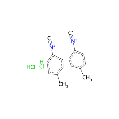 Cl.Cl.[C-]#[N+]c1ccc(C)cc1.[C-]#[N+]c1ccc(C)cc1